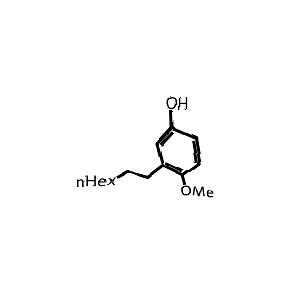 CCCCCCCCc1cc(O)ccc1OC